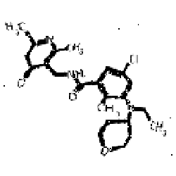 CCN(c1cc(Cl)cc(C(=O)NCC2=C(C)N=C(C)CC2=O)c1C)C1CCOCC1